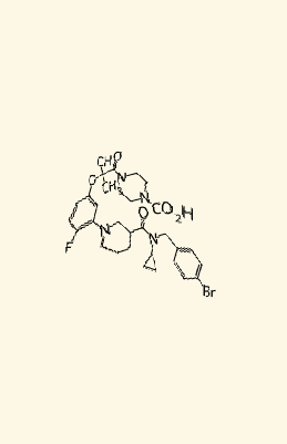 CC(C)(Oc1ccc(F)c(N2CCCC(C(=O)N(Cc3ccc(Br)cc3)C3CC3)C2)c1)C(=O)N1CCN(C(=O)O)CC1